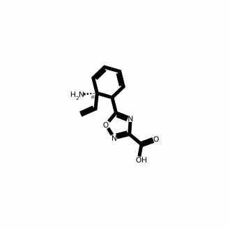 C=C[C@@]1(N)C=CC=CC1c1nc(C(=O)O)no1